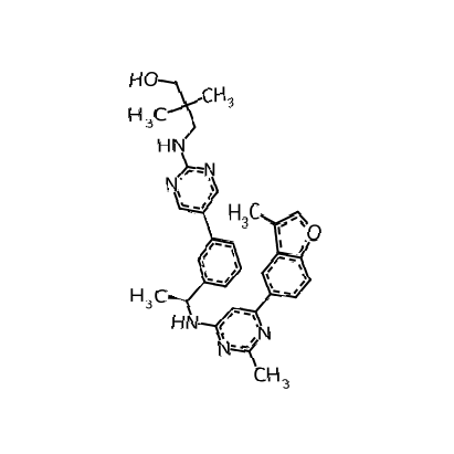 Cc1nc(N[C@@H](C)c2cccc(-c3cnc(NCC(C)(C)CO)nc3)c2)cc(-c2ccc3occ(C)c3c2)n1